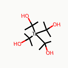 C[C](C)(O)[Ti]([C](C)(C)O)([C](C)(C)O)[C](C)(C)O